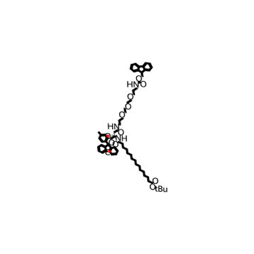 Cc1ccc(C(OC(=O)[C@H](CC(=O)NCCCOCCOCCOCCCNC(=O)OCC2c3ccccc3-c3ccccc32)NC(=O)CCCCCCCCCCCCCCC(=O)OC(C)(C)C)(c2ccccc2)c2ccccc2Cl)cc1